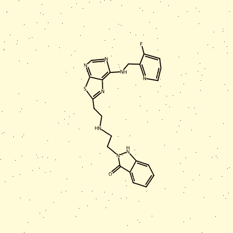 O=c1c2ccccc2[nH]n1CCNCCc1nc2c(NCc3ncccc3F)ncnc2s1